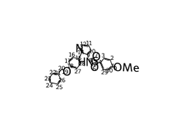 COc1ccc(S(=O)(=O)Nc2cccnc2-c2ccc(OCc3ccccc3)cc2)cc1